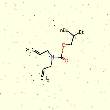 C=CCN(CC=C)C(=O)OCC(CC)CCCC